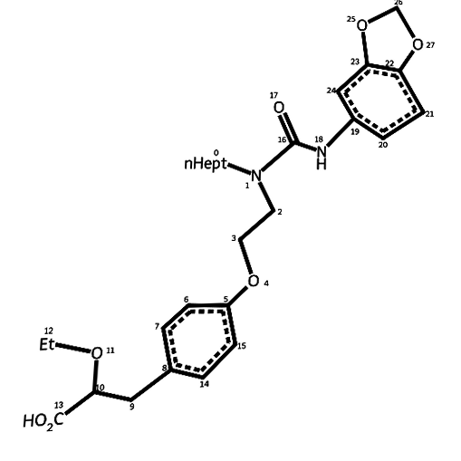 CCCCCCCN(CCOc1ccc(CC(OCC)C(=O)O)cc1)C(=O)Nc1ccc2c(c1)OCO2